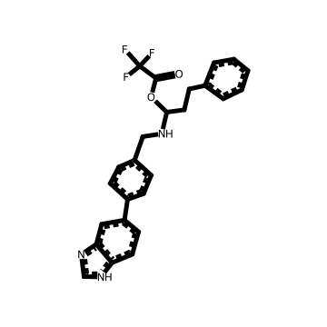 O=C(OC(CCc1ccccc1)NCc1ccc(-c2ccc3[nH]cnc3c2)cc1)C(F)(F)F